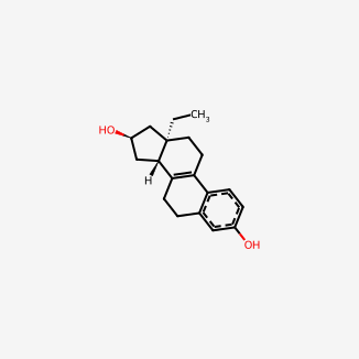 CC[C@]12CCC3=C(CCc4cc(O)ccc43)[C@@H]1C[C@@H](O)C2